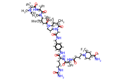 CC[C@H](C)[C@@H]([C@@H](CC(=O)N1CCC[C@H]1[C@H](OC)[C@@H](C)C(=O)NCC(=O)NCc1ccc(NC(=O)[C@H](CCCNC(N)=O)NC(=O)[C@@H](NC(=O)CCCN2CCC(C(N)=O)CC2C(F)(F)F)C(C)C)cc1)OC)N(C)C(=O)[C@@H](NC(=O)[C@H](C(C)C)N(C)C)C(C)C